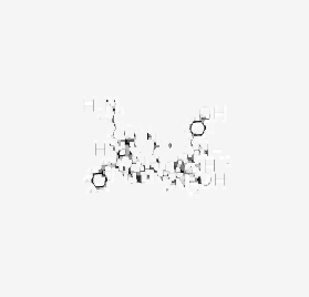 C[C@H](NC(=O)[C@H](CCC(N)=O)NC(=O)[C@H](C)NC(=O)[C@@H](NC(=O)[C@@H](N)Cc1ccc(O)cc1)[C@@H](C)O)C(=O)N[C@@H](Cc1ccccc1)C(=O)N[C@@H](CCCCN)C(=O)O